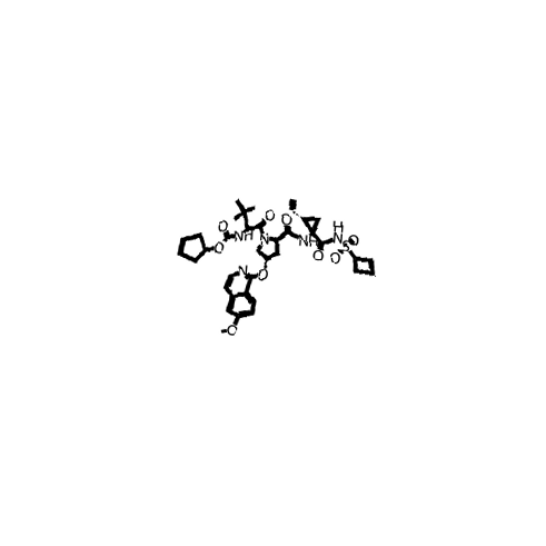 C=C[C@@H]1C[C@]1(NC(=O)C1C[C@@H](Oc2nccc3cc(OC)ccc23)CN1C(=O)[C@@H](NC(=O)OC1CCCC1)C(C)(C)C)C(=O)NS(=O)(=O)C1CCC1